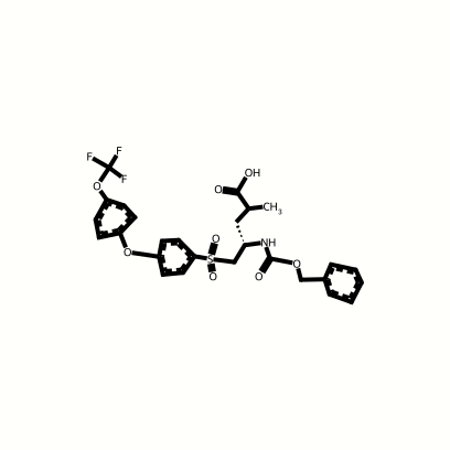 CC(C[C@@H](CS(=O)(=O)c1ccc(Oc2ccc(OC(F)(F)F)cc2)cc1)NC(=O)OCc1ccccc1)C(=O)O